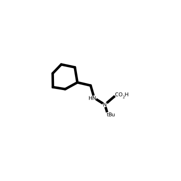 CC(C)(C)N(NCC1CCCCC1)C(=O)O